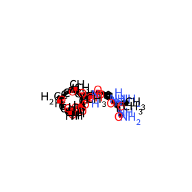 C=C1C[C@@H]2CC[C@@]34C[C@H]5O[C@H]6[C@@H](O3)[C@H]3OC(CC[C@@H]3O[C@H]6[C@H]5O4)CC(=O)C[C@H]3C(C[C@H]4OC(CCC1O2)C[C@@H](C)C4=C)O[C@H](C[C@H](O)CNC(=O)OCc1ccc(NC(=O)C(CCCNC(N)=O)NC(=O)[C@@H](N)C(C)C)cc1)[C@@H]3OC